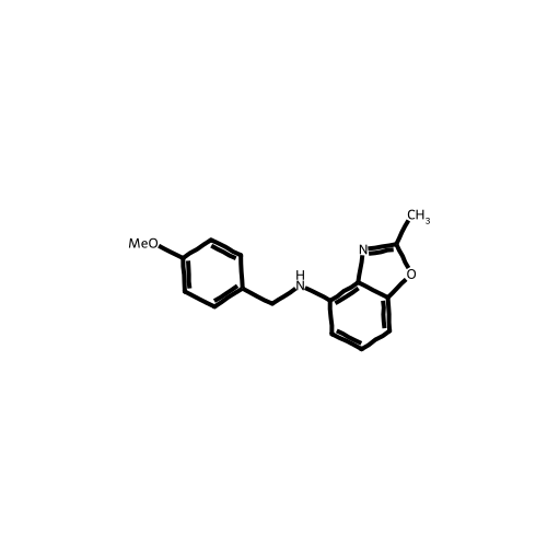 COc1ccc(CNc2cccc3oc(C)nc23)cc1